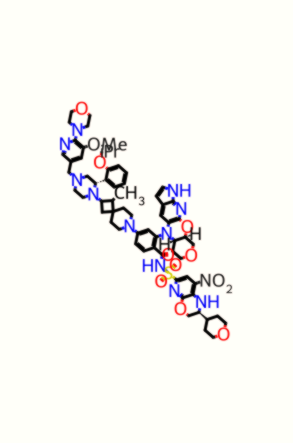 COc1cc(CN2CCN(C3CC4(CCN(c5ccc(C(=O)NS(=O)(=O)c6cc([N+](=O)[O-])c7c(n6)OC[C@H](C6CCOCC6)N7)c(N6c7cc8cc[nH]c8nc7O[C@H]7COCC[C@@H]76)c5)CC4)C3C)[C@@H](c3ccccc3OC(C)C)C2)cnc1N1CCOCC1